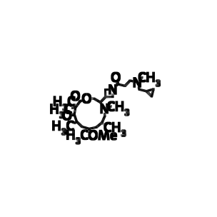 CO[C@]1(C)C[C@@H](C)CN(C)C(C2CN(C(=O)CCN(C)CC3CC3)C2)COC(=O)C(C)(C)C(=O)[C@H](C)C1